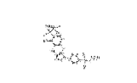 N=c1scc(-c2ccc(S(=O)(=O)CC(=O)O)cc2)n1Cc1ccc(C(F)(F)P(=O)(O)O)c(Br)c1